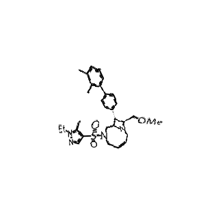 CCn1ncc(S(=O)(=O)N2C/C=C\CN3C(C2)[C@H](c2ccc(-c4cccc(C)c4C)cc2)[C@H]3COC)c1C